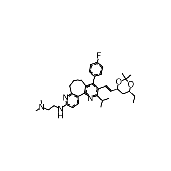 CC[C@H]1C[C@@H](/C=C/c2c(C(C)C)nc3c(c2-c2ccc(F)cc2)CCCc2nc(NCCN(C)C)ccc2-3)OC(C)(C)O1